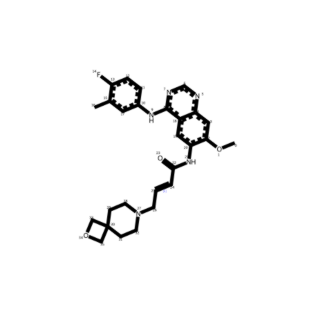 COc1cc2ncnc(Nc3ccc(F)c(C)c3)c2cc1NC(=O)/C=C/CN1CCC2(CC1)COC2